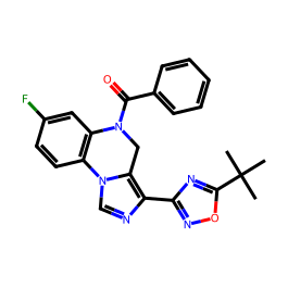 CC(C)(C)c1nc(-c2ncn3c2CN(C(=O)c2ccccc2)c2cc(F)ccc2-3)no1